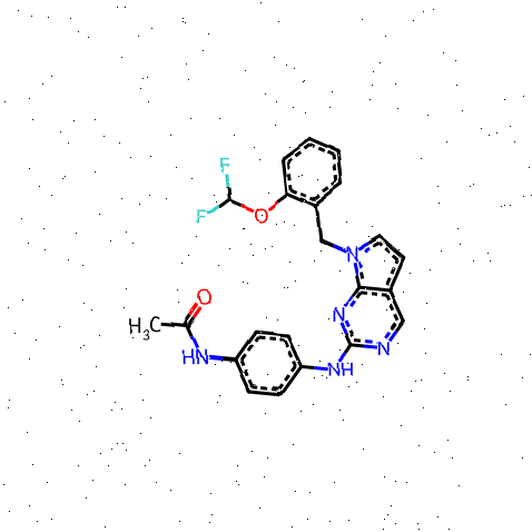 CC(=O)Nc1ccc(Nc2ncc3ccn(Cc4ccccc4OC(F)F)c3n2)cc1